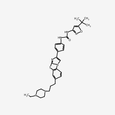 CCN1CCN(CCCc2ccc3c(c2)sc2nc(-c4ccc(NC(=O)Nc5cc(C(C)(C)C)on5)cc4)cn23)CC1